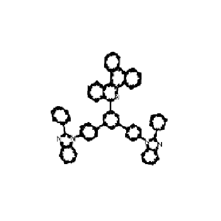 c1ccc(-c2nc3ccccc3n2-c2ccc(-c3cc(-c4ccc(-n5c(-c6ccccc6)nc6ccccc65)cc4)cc(-c4nc5c6ccccc6c6ccccc6c5c5ccccc45)c3)cc2)cc1